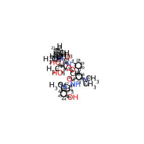 COc1c(CN2O[C@@H](CO)[C@@H]([C@H](C)O)[C@H]2C(=O)N[C@H]2C[C@H]3C[C@@H]([C@@H]2C)C3(C)C)cccc1-c1cc(C(=O)NC(Cc2ccccc2O)CN(C)C)cc(N(C)C)c1